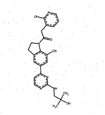 CC(C)(O)CNc1nccc(-c2cc(C#N)c3c(c2)CCN3C(=O)Cc2cccnc2Cl)n1